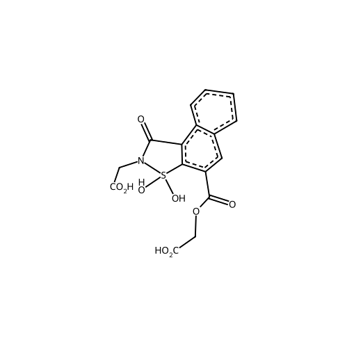 O=C(O)COC(=O)c1cc2ccccc2c2c1S(O)(O)N(CC(=O)O)C2=O